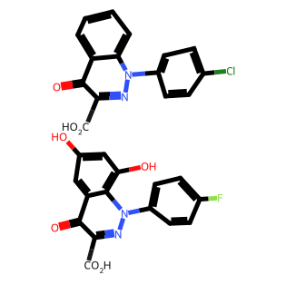 O=C(O)c1nn(-c2ccc(Cl)cc2)c2ccccc2c1=O.O=C(O)c1nn(-c2ccc(F)cc2)c2c(O)cc(O)cc2c1=O